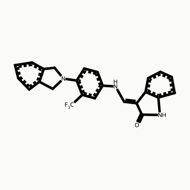 O=C1Nc2ccccc2C1=CNc1ccc(N2Cc3ccccc3C2)c(C(F)(F)F)c1